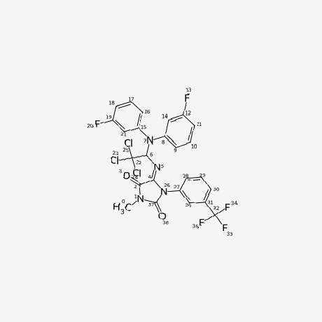 CN1C(=O)C(=NC(N(c2cccc(F)c2)c2cccc(F)c2)C(Cl)(Cl)Cl)N(c2cccc(C(F)(F)F)c2)C1=O